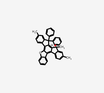 Cc1ccc2c(c1)C(C)(C)c1c3c(c4oc5ccccc5c4c1-2)-c1ccc(C)cc1C3(c1ccccc1)c1ccccc1